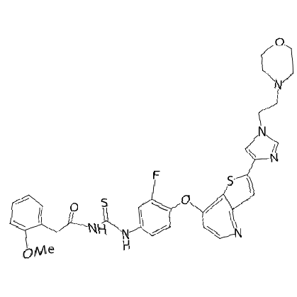 COc1ccccc1CC(=O)NC(=S)Nc1ccc(Oc2ccnc3cc(-c4cn(CCN5CCOCC5)cn4)sc23)c(F)c1